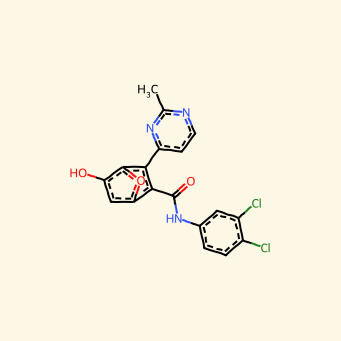 Cc1nccc(-c2c(C(=O)Nc3ccc(Cl)c(Cl)c3)c3cc(O)c2o3)n1